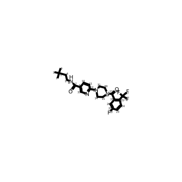 CC(C)(C)CCNC(=O)c1ccc(N2CCN(C(=O)c3cc(F)ccc3C(F)(F)F)CC2)nc1